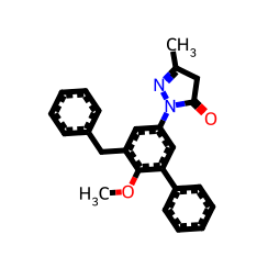 COc1c(Cc2ccccc2)cc(N2N=C(C)CC2=O)cc1-c1ccccc1